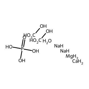 O.O=C(O)O.O=C(O)O.O=P(O)(O)O.[CaH2].[MgH2].[NaH].[NaH]